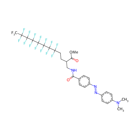 COC(=O)C(CCC(F)(F)C(F)(F)C(F)(F)C(F)(F)C(F)(F)C(F)(F)C(F)(F)C(F)(F)F)CNC(=O)c1ccc(N=Nc2ccc(N(C)C)cc2)cc1